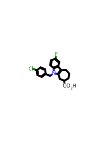 O=C(O)C1CCCc2c(n(Cc3ccc(Cl)cc3)c3ccc(F)cc23)C1